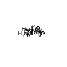 CC(=O)N1C[C@H](C)N(c2cccc(-c3cc(C#N)c4c(N)ncnn34)n2)C(=O)C1(C)C